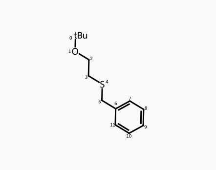 CC(C)(C)OCCSCc1ccccc1